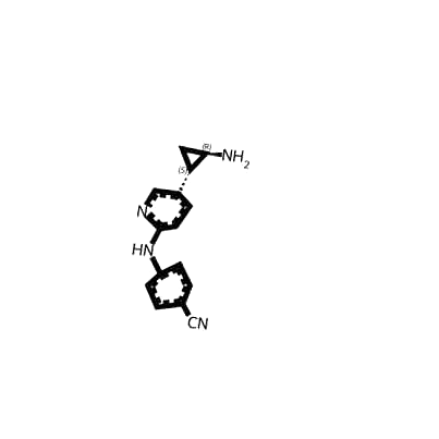 N#Cc1ccc(Nc2ccc([C@@H]3C[C@H]3N)cn2)cc1